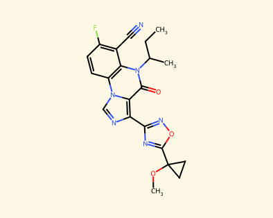 CCC(C)n1c(=O)c2c(-c3noc(C4(OC)CC4)n3)ncn2c2ccc(F)c(C#N)c21